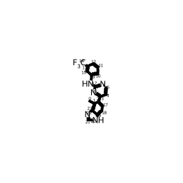 Cc1c(-c2ccnc(Nc3cccc(C(F)(F)F)c3)n2)ccc2[nH]cnc12